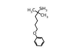 CC(C)([SiH3])CCCCOc1ccccc1